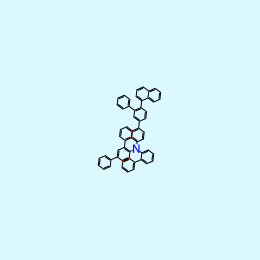 c1ccc(-c2ccc(N(c3ccc(-c4ccc(-c5cccc6ccccc56)c(-c5ccccc5)c4)cc3)c3ccccc3-c3ccccc3)c(-c3ccccc3)c2)cc1